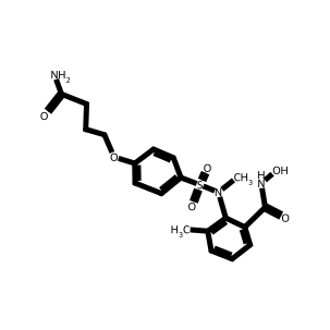 Cc1cccc(C(=O)NO)c1N(C)S(=O)(=O)c1ccc(OCCCC(N)=O)cc1